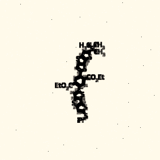 CCOC(=O)c1cc(-c2cc3sc4cc([Si](C)(C)C)sc4c3s2)c(C(=O)OCC)cc1-c1cc2sc3cc(SC(C)C)sc3c2s1